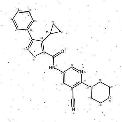 N#Cc1cc(NC(=O)c2snc(-c3ccccc3)c2C2CC2)cnc1N1CCOCC1